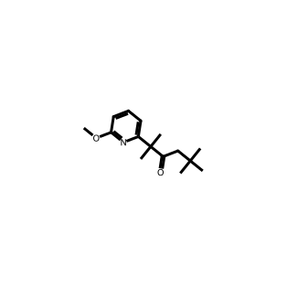 COc1cccc(C(C)(C)C(=O)CC(C)(C)C)n1